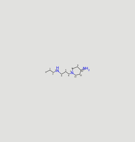 CCCNCCCN1CCC(N)CC1